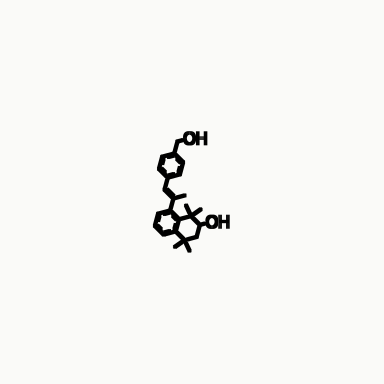 C/C(=C\c1ccc(CO)cc1)c1cccc2c1C(C)(C)C(O)CC2(C)C